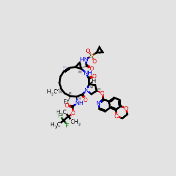 CC[C@@H]1C[C@H](C)CC/C=C\C2C[C@@]2(C(=O)NS(=O)(=O)C2CC2)NC(=O)[C@@H]2C[C@@H](Oc3nccc4c5c(ccc34)OCCO5)CN2C(=O)[C@H]1NC(=O)OC(C)(C)C(C)(F)F